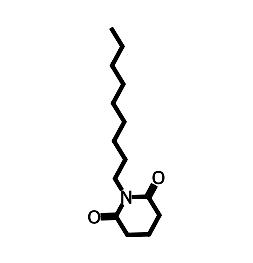 CCCCCCCCCN1C(=O)CCCC1=O